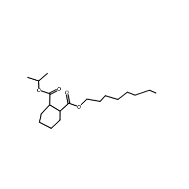 CCCCCCCCOC(=O)C1CCCCC1C(=O)OC(C)C